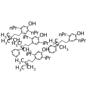 CC(C)c1cc(CC[Si](C)(C)C)c(C(C)C)cc1O.CC(C)c1cc(CC[Si](C)(C)c2ccccc2)c(C(C)C)cc1O.CCCc1cc(CC[Si](C)(C)C)c(CCC)cc1O.CCCc1cc(CC[Si](C)(C)c2ccccc2)c(CCC)cc1O